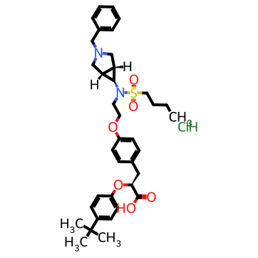 CCCCS(=O)(=O)N(CCOc1ccc(C[C@H](Oc2ccc(C(C)(C)C)cc2)C(=O)O)cc1)[C@H]1[C@@H]2CN(Cc3ccccc3)C[C@@H]21.Cl